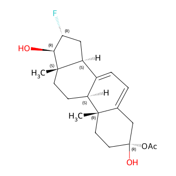 CC(=O)O[C@]1(O)CC[C@@]2(C)C(=CC=C3[C@@H]4C[C@@H](F)[C@H](O)[C@@]4(C)CC[C@@H]32)C1